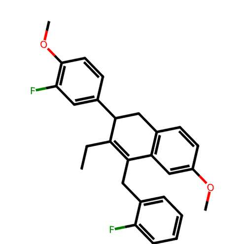 CCC1=C(Cc2ccccc2F)c2cc(OC)ccc2CC1c1ccc(OC)c(F)c1